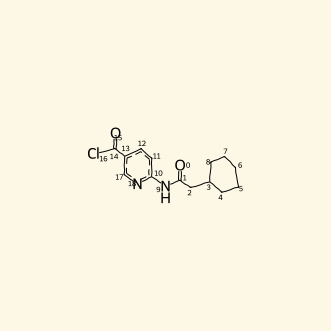 O=C(CC1CCCCC1)Nc1ccc(C(=O)Cl)cn1